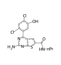 CCCNC(=O)c1cc2c(-c3cc(O)c(Cl)cc3Cl)nc(N)nc2s1